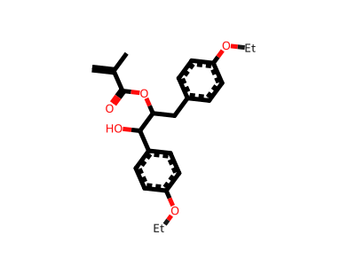 C=C(C)C(=O)OC(Cc1ccc(OCC)cc1)C(O)c1ccc(OCC)cc1